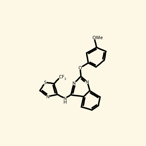 COc1cccc(Oc2nc(Nc3ncsc3C(F)(F)F)c3ccccc3n2)c1